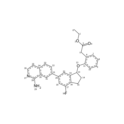 CCOC(=O)Cc1ccccc1OC1CCc2c(F)cc(-c3ccc4ccnc(N)c4c3)cc21